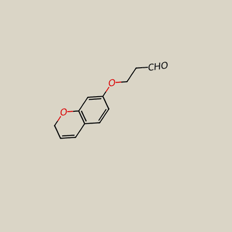 O=CCCOc1ccc2c(c1)OCC=C2